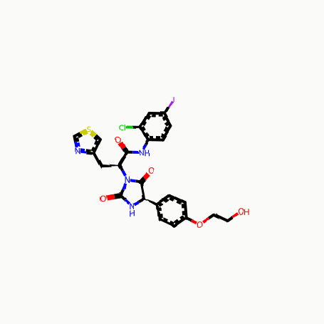 O=C(Nc1ccc(I)cc1Cl)[C@H](Cc1cscn1)N1C(=O)N[C@H](c2ccc(OCCO)cc2)C1=O